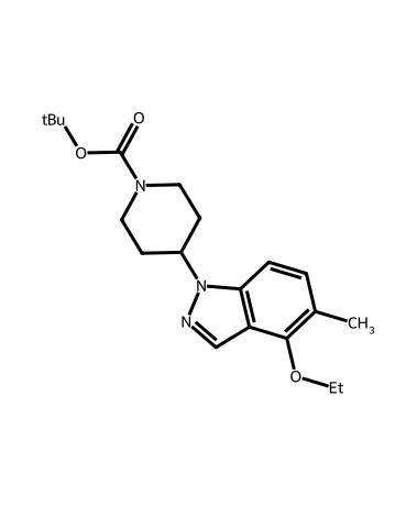 CCOc1c(C)ccc2c1cnn2C1CCN(C(=O)OC(C)(C)C)CC1